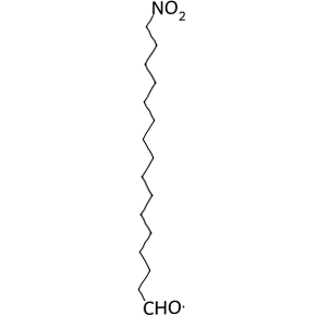 O=[C]CCCCCCCCCCCCCCC[N+](=O)[O-]